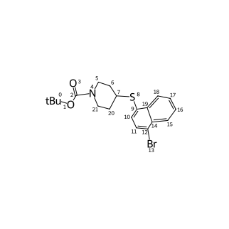 CC(C)(C)OC(=O)N1CCC(Sc2ccc(Br)c3ccccc23)CC1